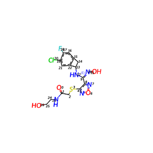 O=C(CSc1nonc1/C(=N\O)NC1Cc2cc(F)c(Cl)cc21)NCCO